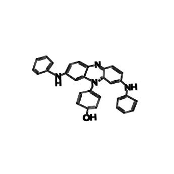 Oc1ccc(-[n+]2c3cc(Nc4ccccc4)ccc3nc3ccc(Nc4ccccc4)cc32)cc1